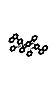 c1ccc(Nc2cc(-c3cccc4ccccc34)ccc2-n2c3ccccc3c3cc4c(cc32)c2ccccc2n4-c2ccc(-c3cccc4ccccc34)cc2Nc2ccccc2)cc1